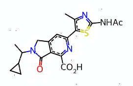 CC(=O)Nc1nc(C)c(-c2cc3c(c(C(=O)O)n2)C(=O)N(C(C)C2CC2)C3)s1